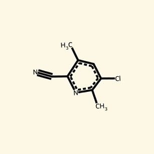 Cc1cc(Cl)c(C)nc1C#N